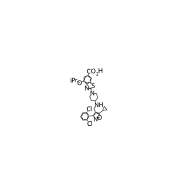 CC(C)Oc1cc(C(=O)O)cc2sc(N3CCC(NCc4c(-c5c(Cl)cccc5Cl)noc4C4CC4)CC3)nc12